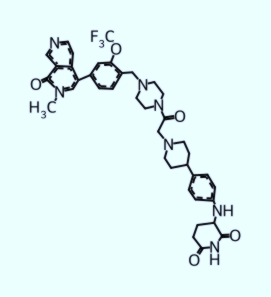 Cn1cc(-c2ccc(CN3CCN(C(=O)CN4CCC(c5ccc(NC6CCC(=O)NC6=O)cc5)CC4)CC3)c(OC(F)(F)F)c2)c2ccncc2c1=O